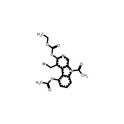 CCOC(=O)Oc1ncc2c(c1CBr)c1c(OC(C)=O)cccc1n2C(C)=O